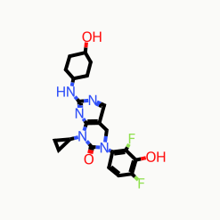 O=C1N(c2ccc(F)c(O)c2F)Cc2cnc(NC3CCC(O)CC3)nc2N1C1CC1